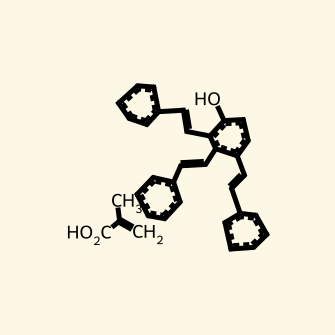 C=C(C)C(=O)O.Oc1ccc(C=Cc2ccccc2)c(C=Cc2ccccc2)c1C=Cc1ccccc1